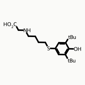 CC(C)(C)c1cc(SCCCCNCC(=O)O)cc(C(C)(C)C)c1O